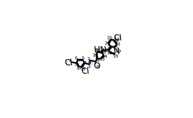 O=C(/C=C/c1ccc(Cl)cc1Cl)c1ccc(Nc2ccnc3cc(Cl)ccc23)cc1